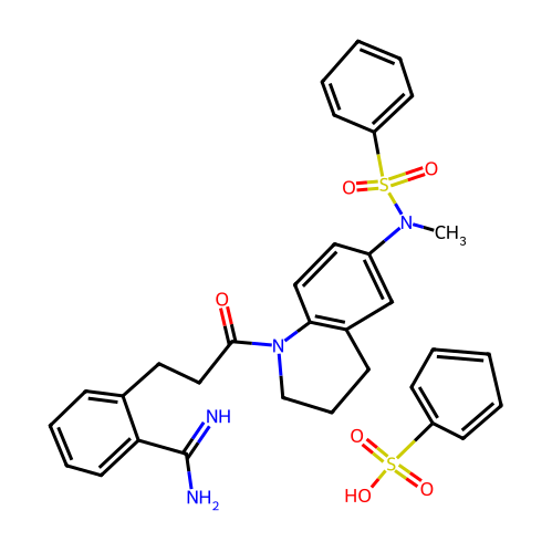 CN(c1ccc2c(c1)CCCN2C(=O)CCc1ccccc1C(=N)N)S(=O)(=O)c1ccccc1.O=S(=O)(O)c1ccccc1